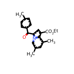 CCOC(=O)c1cc(C(=O)c2ccc(C)cc2)n2cc(C)cc(C)c12